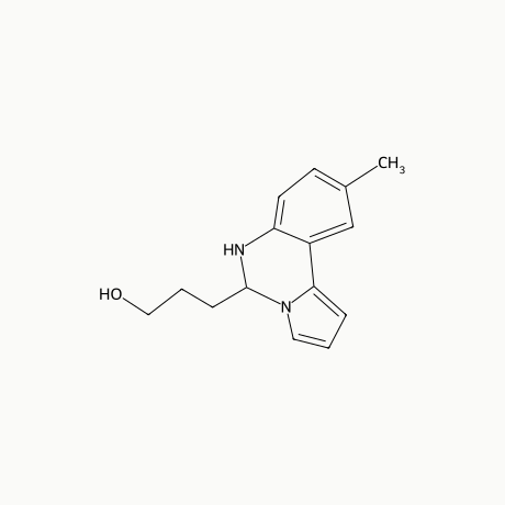 Cc1ccc2c(c1)-c1cccn1C(CCCO)N2